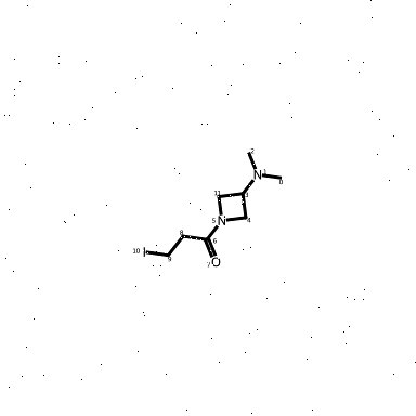 CN(C)C1CN(C(=O)CCI)C1